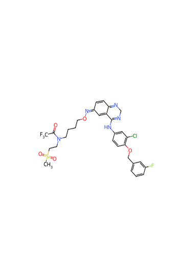 CS(=O)(=O)CCN(CCCCO/N=C1/C=CC2=NCN=C(Nc3ccc(OCc4cccc(F)c4)c(Cl)c3)C2=C1)C(=O)C(F)(F)F